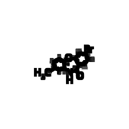 Cc1ccc2c(c1)NC(=O)c1ccc(Br)cc1O2